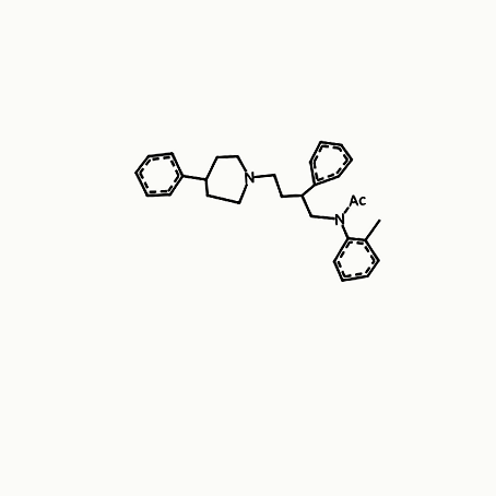 CC(=O)N(CC(CCN1CCC(c2ccccc2)CC1)c1ccccc1)c1ccccc1C